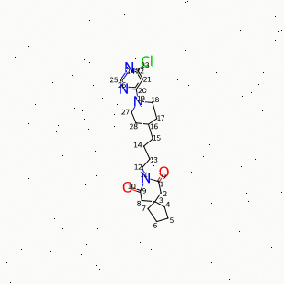 O=C1CC2(CCCC2)CC(=O)N1CCCCC1CCN(c2cc(Cl)ncn2)CC1